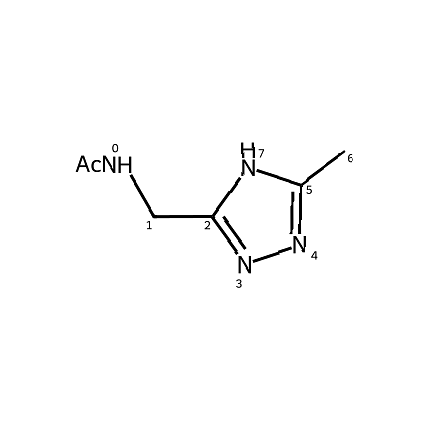 CC(=O)NCc1nnc(C)[nH]1